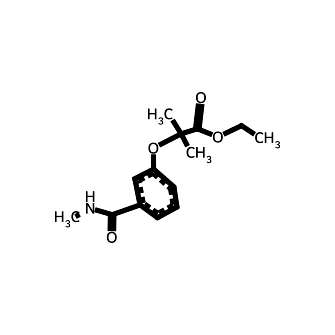 CCOC(=O)C(C)(C)Oc1cccc(C(=O)NC)c1